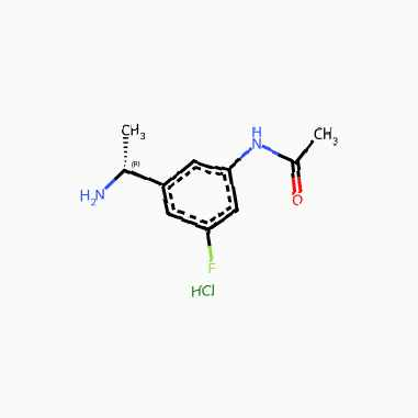 CC(=O)Nc1cc(F)cc([C@@H](C)N)c1.Cl